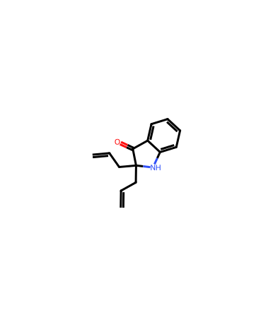 C=CCC1(CC=C)Nc2ccccc2C1=O